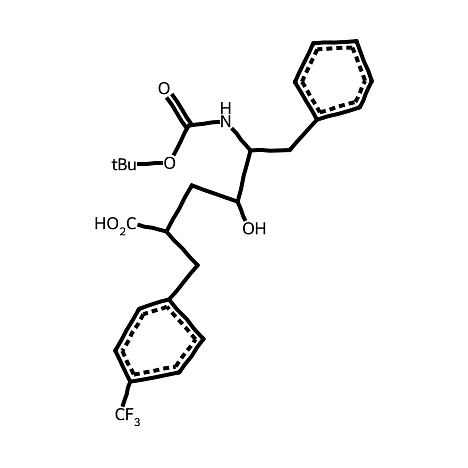 CC(C)(C)OC(=O)NC(Cc1ccccc1)C(O)CC(Cc1ccc(C(F)(F)F)cc1)C(=O)O